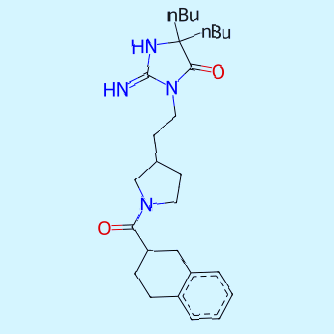 CCCCC1(CCCC)NC(=N)N(CCC2CCN(C(=O)C3CCc4ccccc4C3)C2)C1=O